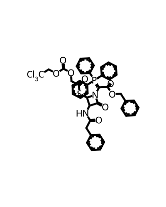 O=C(Cc1ccccc1)NC1C(=O)N(C(C(=O)OCc2ccccc2)=P(c2ccccc2)(c2ccccc2)c2ccccc2)C1SC(=O)COC(=O)OCC(Cl)(Cl)Cl